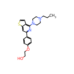 CCCN1CCN(c2nc(-c3ccc(OCCO)cc3)cc3sccc23)CC1